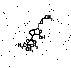 CCOC[C@@H]1O[C@H](O)C2C(C(=O)OC(C)(C)C)CCC21